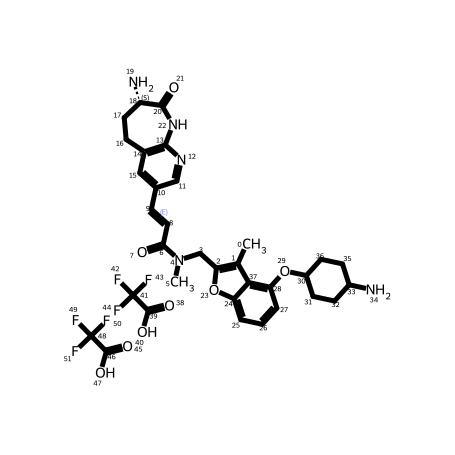 Cc1c(CN(C)C(=O)/C=C/c2cnc3c(c2)CC[C@H](N)C(=O)N3)oc2cccc(OC3CCC(N)CC3)c12.O=C(O)C(F)(F)F.O=C(O)C(F)(F)F